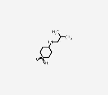 CC(C)CNC1CCS(=N)(=O)CC1